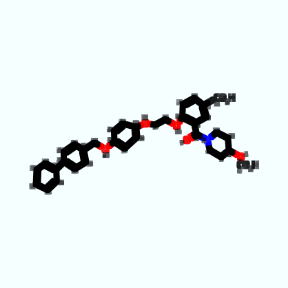 O=C(O)OC1CCN(C(=O)c2cc(C(=O)O)ccc2OCCOc2ccc(OCc3ccc(-c4ccccc4)cc3)cc2)CC1